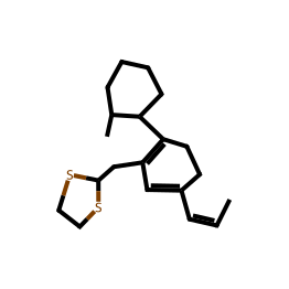 C/C=C\C1=CC(CC2SCCS2)=C(C2CCCCC2C)CC1